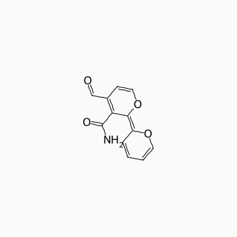 NC(=O)C1=C(C=O)C=COC1=C1C=CC=CO1